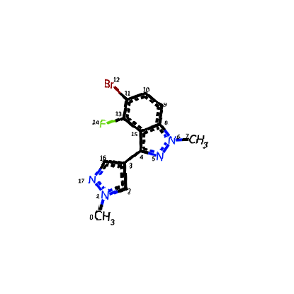 Cn1cc(-c2nn(C)c3ccc(Br)c(F)c23)cn1